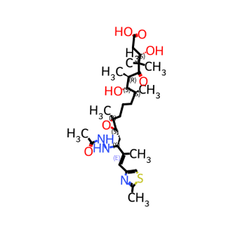 CC(=O)NN[C@@H](C[C@@H]1O[C@]1(C)CCC[C@H](C)[C@H](O)[C@@H](C)C(=O)C(C)(C)[C@@H](O)CC(=O)O)/C(C)=C/c1csc(C)n1